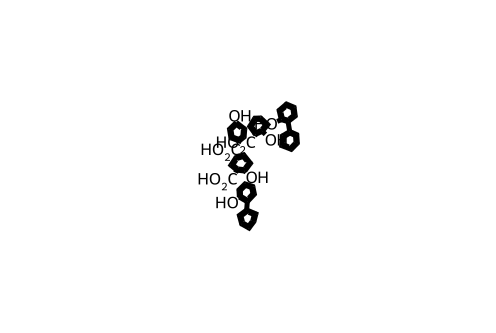 O=C(O)c1ccc(O)cc1.O=C(O)c1ccccc1O.O=C(O)c1ccccc1O.Oc1ccccc1-c1ccccc1.Oc1ccccc1-c1ccccc1